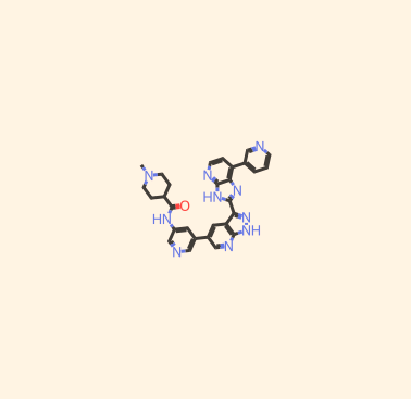 CN1CCC(C(=O)Nc2cncc(-c3cnc4[nH]nc(-c5nc6c(-c7cccnc7)ccnc6[nH]5)c4c3)c2)CC1